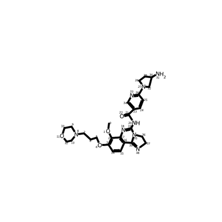 COc1c(OCCCN2CCOCC2)ccc2c1N=C(NC(=O)c1ccc(N3CCC(N)C3)nc1)N1CCN=C21